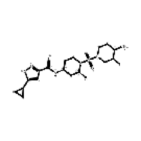 CC1CN(S(=O)(=O)N2CC[C@H](NC(=O)c3cc(C4CC4)on3)C[C@@H]2C)CCC1N